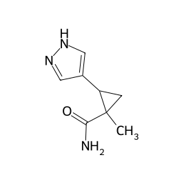 CC1(C(N)=O)CC1c1cn[nH]c1